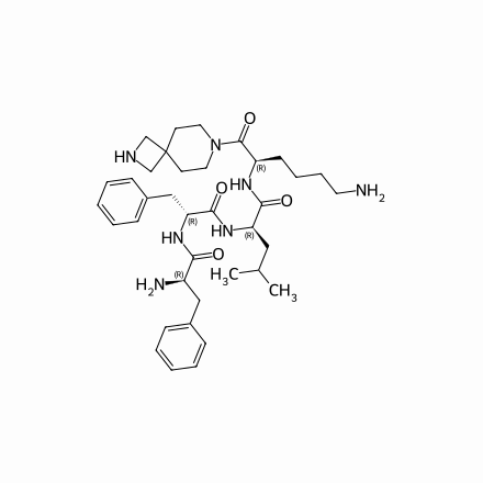 CC(C)C[C@@H](NC(=O)[C@@H](Cc1ccccc1)NC(=O)[C@H](N)Cc1ccccc1)C(=O)N[C@H](CCCCN)C(=O)N1CCC2(CC1)CNC2